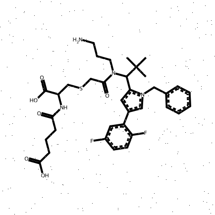 CC(C)(C)C(c1cc(-c2cc(F)ccc2F)cn1Cc1ccccc1)N(CCCN)C(=O)CSCC(NC(=O)CCCC(=O)O)C(=O)O